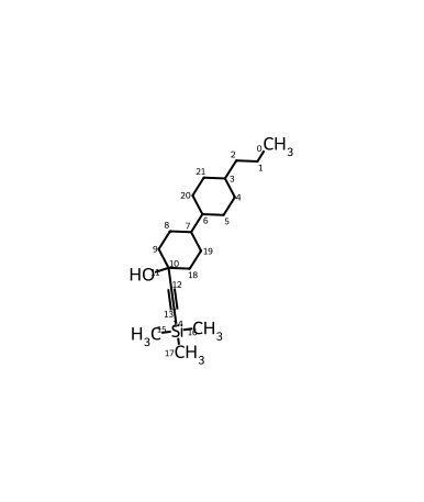 CCCC1CCC(C2CCC(O)(C#C[Si](C)(C)C)CC2)CC1